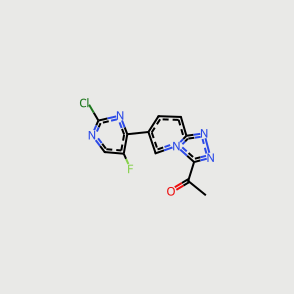 CC(=O)c1nnc2ccc(-c3nc(Cl)ncc3F)cn12